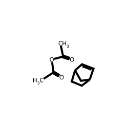 C1=CC2CCC1C2.CC(=O)OC(C)=O